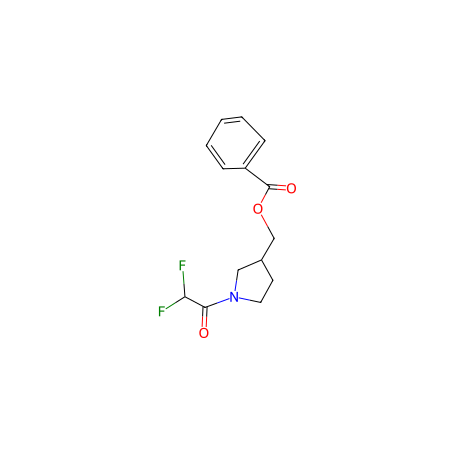 O=C(OCC1CCN(C(=O)C(F)F)C1)c1ccccc1